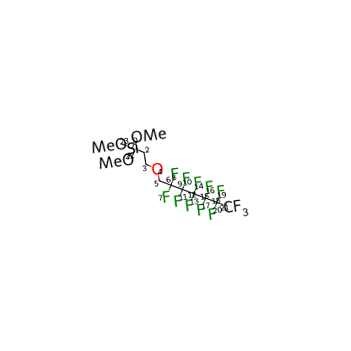 CO[Si](CCOCC(F)(F)C(F)(F)C(F)(F)C(F)(F)C(F)(F)C(F)(F)F)(OC)OC